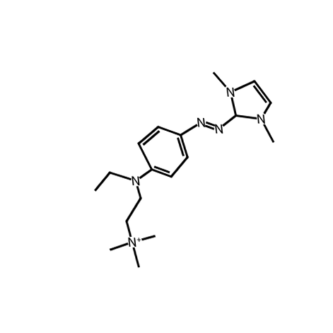 CCN(CC[N+](C)(C)C)c1ccc(N=NC2N(C)C=CN2C)cc1